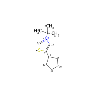 CC(C)(C)[n+]1csc(C2CCCC2)c1